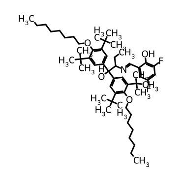 CCCCCCCCOc1c(C(C)(C)C)cc(C(O)(c2cc(C(C)(C)C)c(OCCCCCCCC)c(C(C)(C)C)c2)C(CC)N=Cc2cc(F)cc(F)c2O)cc1C(C)(C)C